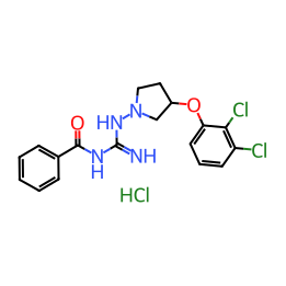 Cl.N=C(NC(=O)c1ccccc1)NN1CCC(Oc2cccc(Cl)c2Cl)C1